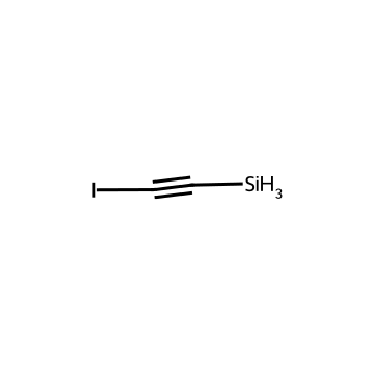 [SiH3]C#CI